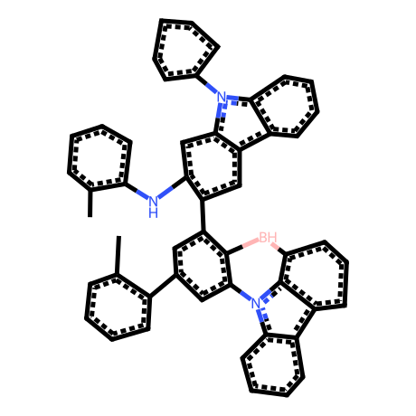 Cc1ccccc1Nc1cc2c(cc1-c1cc(-c3ccccc3C)cc3c1Bc1cccc4c5ccccc5n-3c14)c1ccccc1n2-c1ccccc1